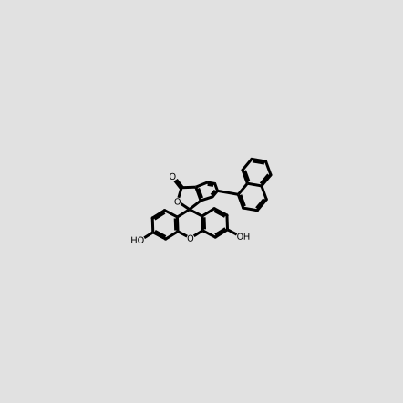 O=C1OC2(c3ccc(O)cc3Oc3cc(O)ccc32)c2cc(-c3cccc4ccccc34)ccc21